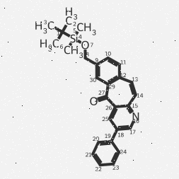 CC(C)(C)[Si](C)(C)OCc1ccc2ccc3ncc(-c4ccccc4)cc3c(=O)c2c1